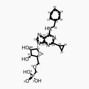 O=P(O)(O)COCC1O[C@@H](n2cnc3c(NCc4ccccc4)nc(C4CC4)nc32)[C@H](O)[C@@H]1O